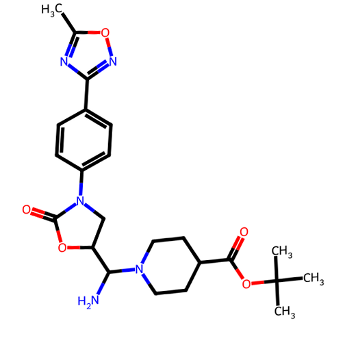 Cc1nc(-c2ccc(N3CC(C(N)N4CCC(C(=O)OC(C)(C)C)CC4)OC3=O)cc2)no1